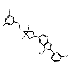 Cn1c(-c2cccc(C(F)(F)F)n2)nc2ncc(N3C[C@@H]4[C@H](COc5cc(F)cc(F)c5)[C@@H]4C3)nc21